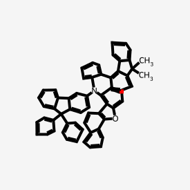 CC1(C)c2ccccc2-c2c(-c3ccccc3N(c3ccc4c(c3)-c3ccccc3C4(c3ccccc3)c3ccccc3)c3cccc4oc5c6ccccc6ccc5c34)cccc21